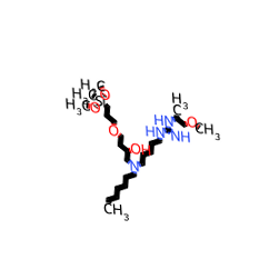 CCCCCCCN(CCCCCNC(=N)NC(C)COC)CC(O)CCOCCC[Si](C)(OC)OC